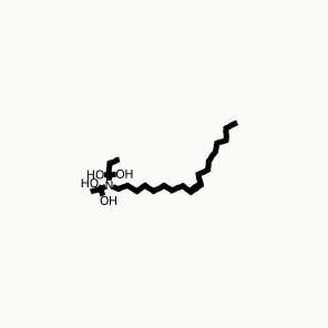 CCCCCCCC/C=C\CCCCCCCCN(C(C)(O)O)C(O)(O)CC